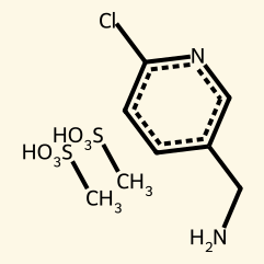 CS(=O)(=O)O.CS(=O)(=O)O.NCc1ccc(Cl)nc1